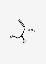 C=CC(Cl)Cl.[AlH3]